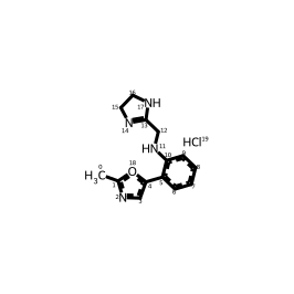 Cc1ncc(-c2ccccc2NCC2=NCCN2)o1.Cl